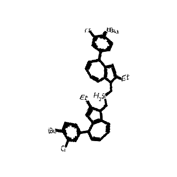 CCC1=CC2=C(C=CC=CC2c2ccc(C(C)(C)C)c(Cl)c2)C1C[SiH2]CC1C(CC)=CC2=C1C=CC=CC2c1ccc(C(C)(C)C)c(Cl)c1